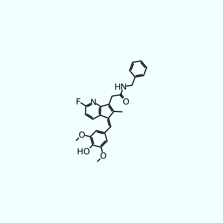 COc1cc(/C=C2/C(C)=C(CC(=O)NCc3ccccc3)c3nc(F)ccc32)cc(OC)c1O